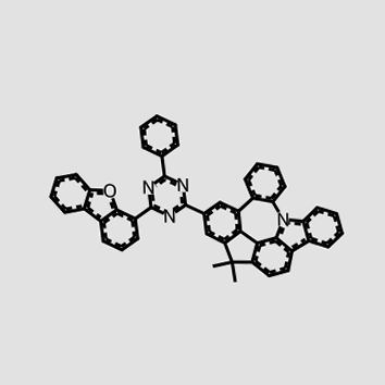 CC1(C)c2cc(-c3nc(-c4ccccc4)nc(-c4cccc5c4oc4ccccc45)n3)cc3c2-c2c1ccc1c4ccccc4n(c21)-c1ccccc1-3